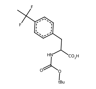 CC(C)(C)OC(=O)NC(Cc1ccc(C(C)(F)F)cc1)C(=O)O